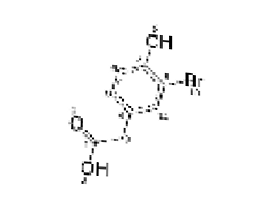 O=C(O)Cc1ccc(O)c(Br)c1